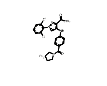 NC(=O)c1nn(-c2c(Cl)cccc2Cl)cc1Nc1ccc(C(=O)N2CC[C@H](F)C2)cc1